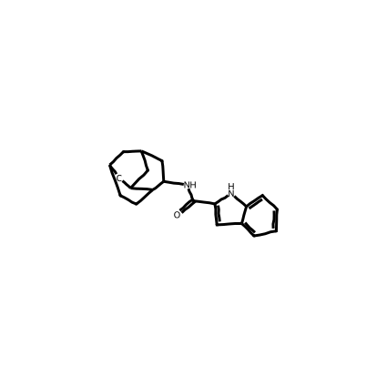 O=C(NC1CC2CC3CCC1C(C3)C2)c1cc2ccccc2[nH]1